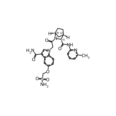 Cc1cccc(NC(=O)[C@@H]2[C@H]3CC[C@H](C3)N2C(=O)Cn2cc(C(N)=O)c3cc(OCS(N)(=O)=O)ccc32)n1